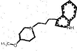 COC1CCN(CCCc2c[nH]c3ccccc23)CC1